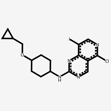 Clc1ncc(I)c2nc(NC3CCC(OCC4CC4)CC3)ncc12